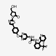 O=C(Nc1cnc(Oc2ccc(-c3cnc(N4CC(CO)CC4=O)s3)cc2)nc1)Nc1cccc(C(F)(F)F)c1-c1cccnc1